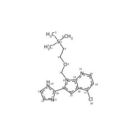 C[Si](C)(C)CCOCn1c(-c2ncc[nH]2)cc2c(Cl)ccnc21